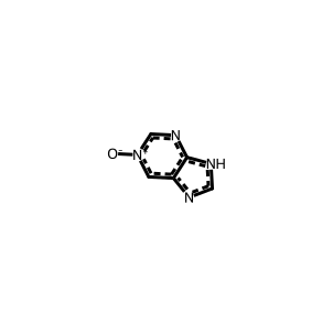 [O-][n+]1cnc2[nH]cnc2c1